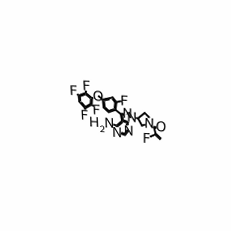 C=C(F)C(=O)N1CCC(n2nc(-c3ccc(Oc4c(F)c(F)cc(F)c4F)cc3F)c3c(N)ncnc32)C1